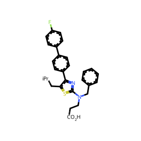 CC(C)Cc1sc(N(CCC(=O)O)Cc2ccccc2)nc1-c1ccc(-c2ccc(F)cc2)cc1